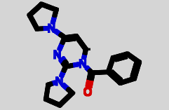 O=C(c1ccccc1)N1[CH]C=C(N2CCCC2)N=C1N1CCCC1